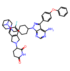 Nc1ncnc2c1c(-c1ccc(Oc3ccccc3)cc1)nn2C1CCC(CN2CC3CC(C2)N3c2cc3c(cc2F)CN(C2CCC(=O)NC2=O)C3)CC1